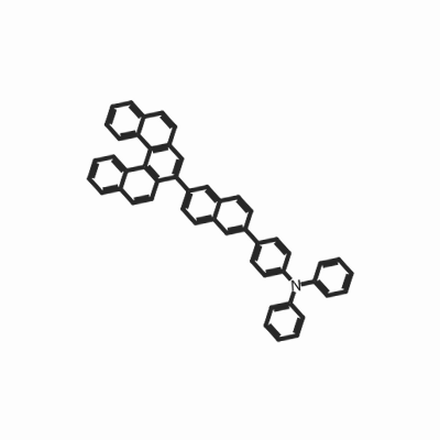 c1ccc(N(c2ccccc2)c2ccc(-c3ccc4cc(-c5cc6ccc7ccccc7c6c6c5ccc5ccccc56)ccc4c3)cc2)cc1